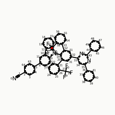 N#Cc1ccc(-c2ccc3c(c2)c2ccccc2n3-c2c(-c3ccccc3C(F)(F)F)cc(-c3cc(-c4ccccc4)nc(-c4ccccc4)n3)cc2-c2ccccc2C(F)(F)F)cc1